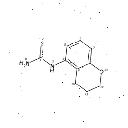 NC(=S)Nc1cccc2c1CCCO2